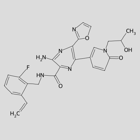 C=Cc1cccc(F)c1CNC(=O)c1nc(-c2ccc(=O)n(CC(C)O)c2)c(-c2ncco2)nc1N